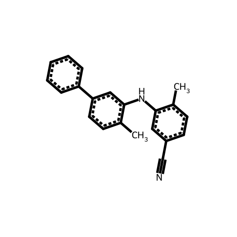 Cc1ccc(C#N)cc1Nc1cc(-c2ccccc2)ccc1C